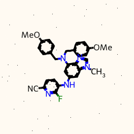 COc1ccc(CN(Cc2ccc(OC)cc2)c2cc(Nc3ccc(C#N)nc3F)cc3c2ncn3C)cc1